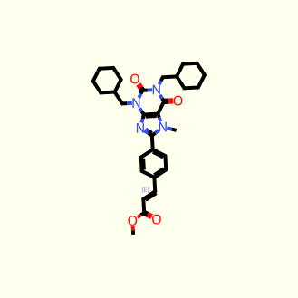 COC(=O)/C=C/c1ccc(-c2nc3c(c(=O)n(CC4CCCCC4)c(=O)n3CC3CCCCC3)n2C)cc1